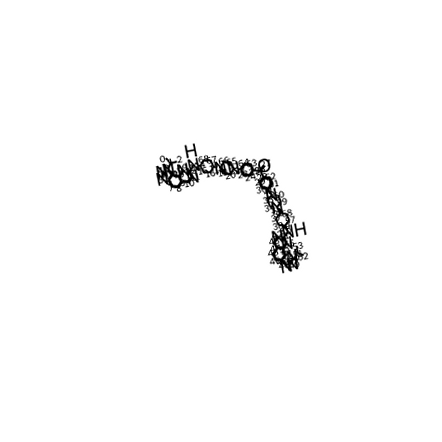 CC(C)n1nnc2ccc3cnc(NC4CCC(N5CCN(c6ccc(C(=O)c7ccc(N8CCN(C9CCC(Nc%10ncc%11ccc%12nnn(C(C)C)c%12c%11n%10)CC9)CC8)cc7)cc6)CC5)CC4)nc3c21